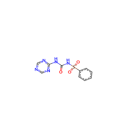 O=C(Nc1ncncn1)NS(=O)(=O)c1ccccc1